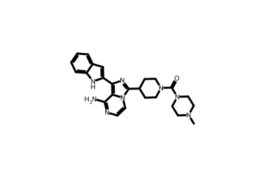 CN1CCN(C(=O)N2CCC(c3nc(-c4cc5ccccc5[nH]4)c4c(N)nccn34)CC2)CC1